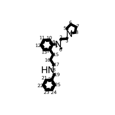 CN(CCN1CCCC1)c1ccccc1CCCNCc1ccccc1